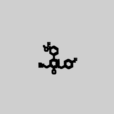 COC1(F)C=CC=C(c2cc(CBr)c(=O)n(Cc3ccc(F)cc3)n2)C1